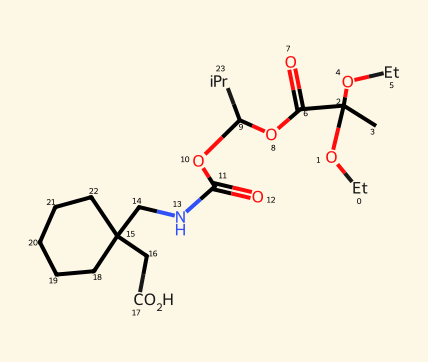 CCOC(C)(OCC)C(=O)OC(OC(=O)NCC1(CC(=O)O)CCCCC1)C(C)C